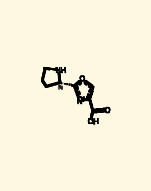 O=C(O)c1coc([C@@H]2CCCN2)n1